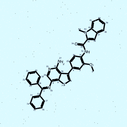 COc1cc(-c2csc3c(N=C(c4ccccc4)c4ccccc4)cnc(N)c23)ccc1NC(=O)c1cc2ccccc2n1C